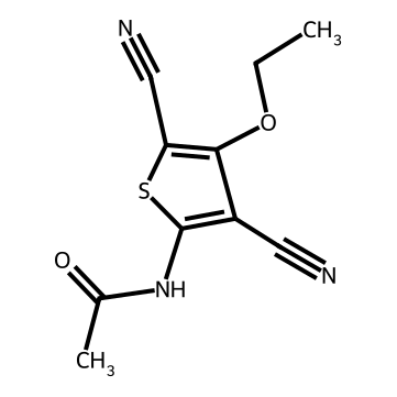 CCOc1c(C#N)sc(NC(C)=O)c1C#N